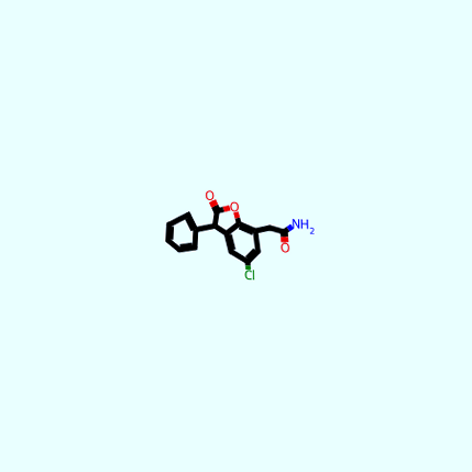 NC(=O)Cc1cc(Cl)cc2c1OC(=O)C2c1ccccc1